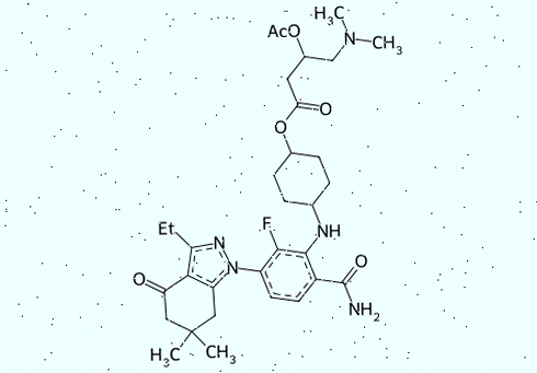 CCc1nn(-c2ccc(C(N)=O)c(NC3CCC(OC(=O)CC(CN(C)C)OC(C)=O)CC3)c2F)c2c1C(=O)CC(C)(C)C2